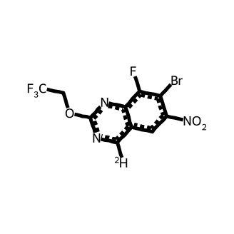 [2H]c1nc(OCC(F)(F)F)nc2c(F)c(Br)c([N+](=O)[O-])cc12